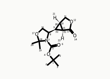 CC(C)(C)OC(=O)N1C([C@H]2[C@H]3COC(=O)[C@H]32)COC1(C)C